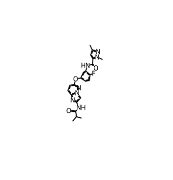 Cc1cc(C(=O)Nc2cc(Oc3ccc4nc(NC(=O)C(C)C)cn4n3)ccc2F)n(C)n1